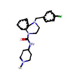 [2H]N1CCC(NC(=O)N2CCN(Cc3ccc(F)cc3)c3ccccc32)CC1